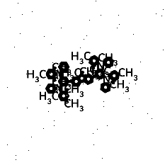 Cc1cc(C)c(N(c2ccccc2)c2cc(-c3ccc4c(c3)C(C)(C)c3cc(-c5cc(N(c6ccccc6)c6c(C)cc(C)cc6C)cc(N(c6ccccc6)c6c(C)cc(C)cc6C)c5)ccc3-4)cc(N(c3ccccc3)c3c(C)cc(C)cc3C)c2)c(C)c1